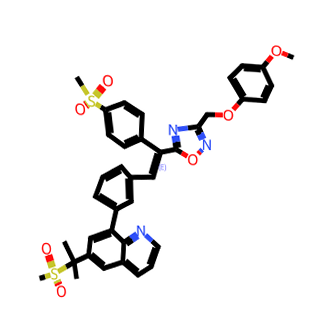 COc1ccc(OCc2noc(/C(=C/c3cccc(-c4cc(C(C)(C)S(C)(=O)=O)cc5cccnc45)c3)c3ccc(S(C)(=O)=O)cc3)n2)cc1